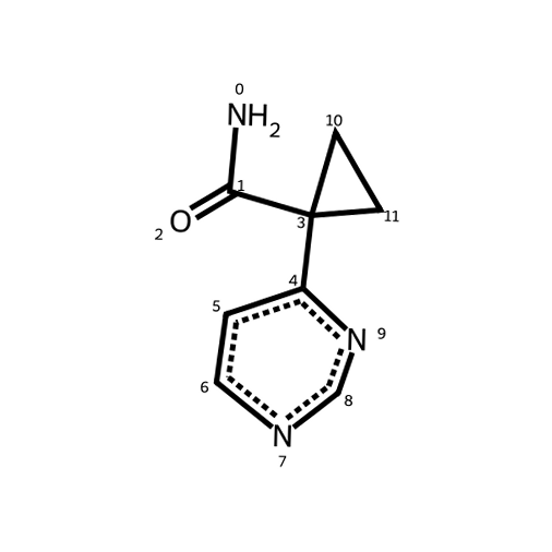 NC(=O)C1(c2ccncn2)CC1